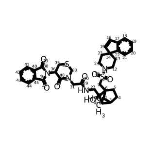 CC1(C)C2CCC1(CS(=O)(=O)N1CCC3(C=Cc4ccccc43)CC1)C(O)(CNC(=O)CN1CSCC(N3C(=O)c4ccccc4C3=O)C1=O)C2